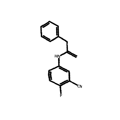 C=C(Cc1ccccc1)Nc1ccc(F)c(C#N)c1